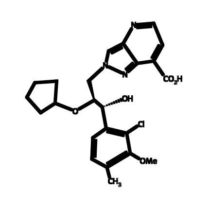 COc1c(C)ccc([C@@H](O)[C@H](Cn2cc3nccc(C(=O)O)c3n2)OC2CCCC2)c1Cl